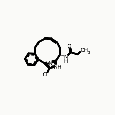 CCC(=O)N[C@H]1CC=CCCCc2ccccc2-c2nc1[nH]c2Cl